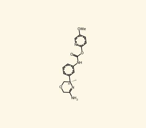 COc1ccc(OC(=O)Nc2cccc([C@]3(C)COCC(N)=N3)c2)nc1